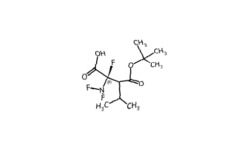 CC(C)C(C(=O)OC(C)(C)C)[C@@](F)(C(=O)O)N(F)F